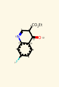 CCOC(=O)C1C=Nc2cc(F)ccc2C1=O